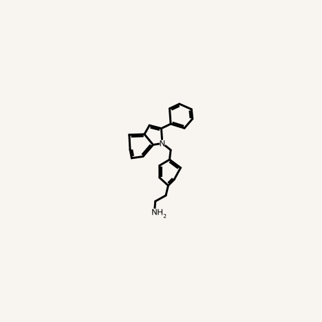 NCCc1ccc(Cn2c(-c3ccccc3)cc3ccccc32)cc1